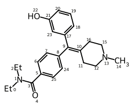 CCN(CC)C(=O)c1ccc(C(=C2CCN(C)CC2)c2cccc(O)c2)cc1